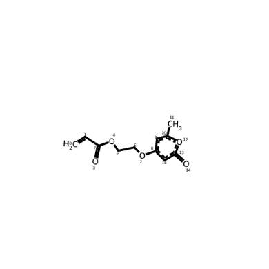 C=CC(=O)OCCOc1cc(C)oc(=O)c1